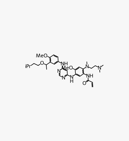 C=CC(=O)Nc1cc(Nc2cc(Nc3ccc(OC)c(C(C)OCCC(C)C)c3)ncn2)c(OC)cc1N(C)CCN(C)C